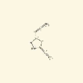 C=C=C[C@H]1CNC(=C=C)C1